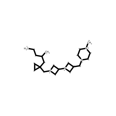 CCCC(C)CC1(CN2CC(N3CC(CN4CCN(C)CC4)C3)C2)CC1